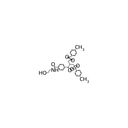 Cc1ccc(S(=O)(=O)CC(CS(=O)(=O)c2ccc(C)cc2)C(=O)c2ccc(C(=O)NCCO)cc2)cc1